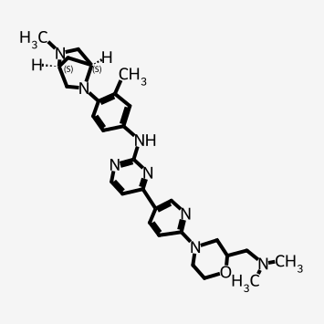 Cc1cc(Nc2nccc(-c3ccc(N4CCOC(CN(C)C)C4)nc3)n2)ccc1N1C[C@@H]2C[C@H]1CN2C